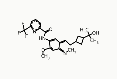 C/N=C1/C=C(OC)C(NC(=O)c2cccc(C(F)(F)F)n2)=C/C1=C/CC1CC(C(C)(C)O)C1